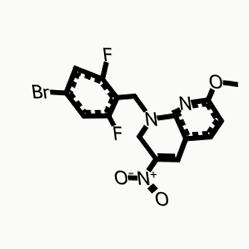 COc1ccc2c(n1)N(Cc1c(F)cc(Br)cc1F)CC([N+](=O)[O-])=C2